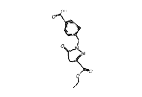 CCOC(=O)C1=NN(Cc2ccc(C(=O)O)cc2)C(=O)C1